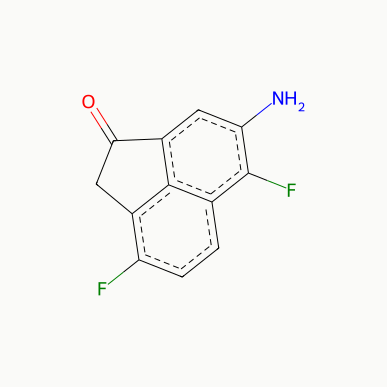 Nc1cc2c3c(c(F)ccc3c1F)CC2=O